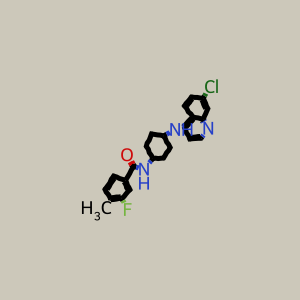 Cc1ccc(C(=O)NC2CCC(Nc3ccnc4cc(Cl)ccc34)CC2)cc1F